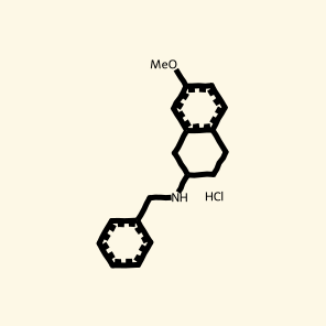 COc1ccc2c(c1)CC(NCc1ccccc1)CC2.Cl